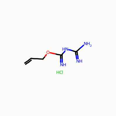 C=CCOC(=N)NC(=N)N.Cl